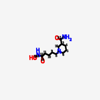 NC(=O)C1CCCN(CCCCC(=O)NO)C1